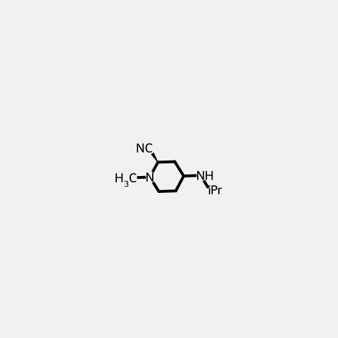 CC(C)NC1CCN(C)[C@@H](C#N)C1